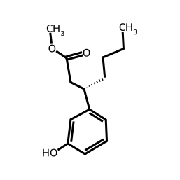 CCCC[C@@H](CC(=O)OC)c1cccc(O)c1